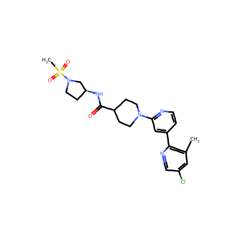 Cc1cc(Cl)cnc1-c1ccnc(N2CCC(C(=O)N[C@H]3CCN(S(C)(=O)=O)C3)CC2)c1